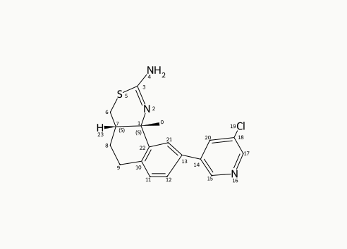 C[C@]12N=C(N)SC[C@H]1CCc1ccc(-c3cncc(Cl)c3)cc12